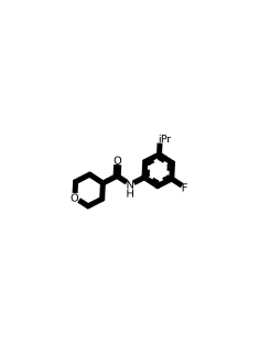 CC(C)c1cc(F)cc(NC(=O)C2CCOCC2)c1